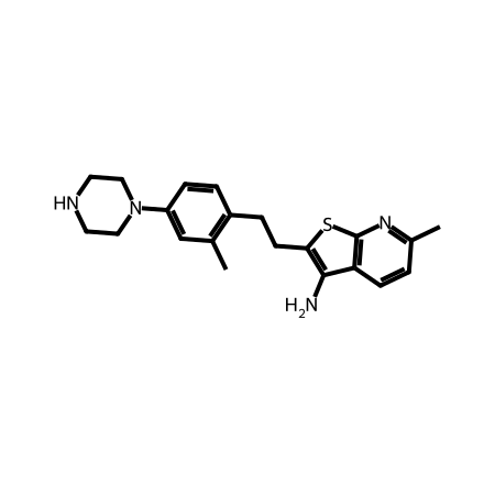 Cc1ccc2c(N)c(CCc3ccc(N4CCNCC4)cc3C)sc2n1